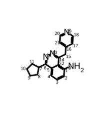 Nc1cccc2c(C3CCCC3)nnc(Cc3ccncc3)c12